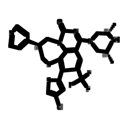 C[C@@H]1CN(c2nc(=O)n3c4c(c(-c5cc(Cl)cs5)c(C(F)(F)F)cc24)SC[C@@H](c2ccncc2)C3)C[C@H](C)N1